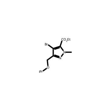 CCOC(=O)c1c(Br)c(COC(C)C)nn1C